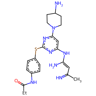 CCC(=O)Nc1ccc(Sc2nc(N/C(N)=C/C(C)=N)cc(N3CCC(N)CC3)n2)cc1